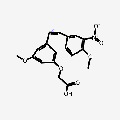 COc1cc(/C=C\c2ccc(OC)c([N+](=O)[O-])c2)cc(OCC(=O)O)c1